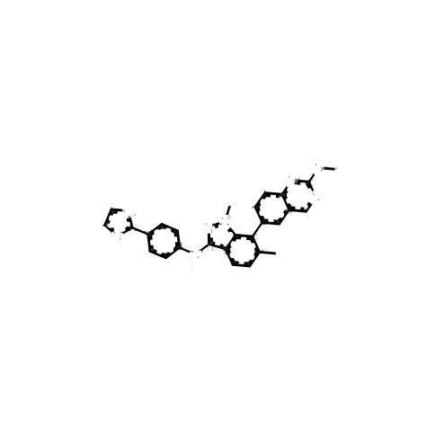 CNc1ncc2cc(-c3c(C)ccc4c(Nc5ccc(-c6ncco6)cc5)nn(C)c34)ccc2n1